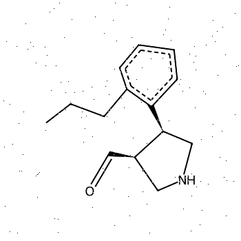 CCCc1ccccc1[C@H]1CNC[C@H]1C=O